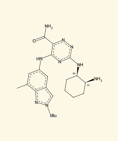 Cc1cc(Nc2nc(N[C@@H]3CCCC[C@@H]3N)nnc2C(N)=O)cc2cn(C(C)(C)C)nc12